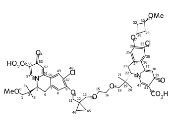 COCC(C)(C)[C@@H]1Cc2cc(OCC3(COCCOCC(C)(C)[C@@H]4Cc5cc(O[C@H]6C[C@H](OC)C6)c(Cl)cc5-c5cc(=O)c(C(=O)O)cn54)CC3)c(Cl)cc2-c2cc(=O)c(C(=O)O)cn21